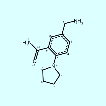 NCc1ccc(N2CCCC2)c(C(N)=O)c1